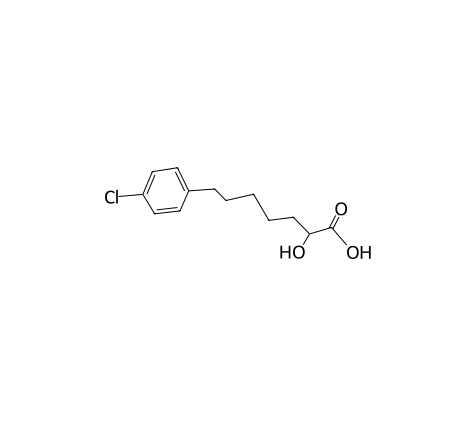 O=C(O)C(O)CCCCCc1ccc(Cl)cc1